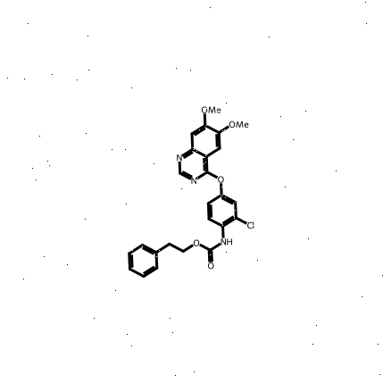 COc1cc2ncnc(Oc3ccc(NC(=O)OCCc4ccccc4)c(Cl)c3)c2cc1OC